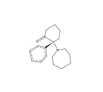 O=C1CCCC[C@]1(c1ccccc1)N1CCCCCC1